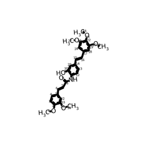 COc1ccc(/C=C/C(=O)Nc2ccc(C=Cc3cc(OC)c(OC)c(OC)c3)cc2O)cc1OC